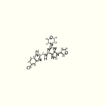 Clc1ccc2[nH]c(CNc3nc(N4CCOCC4)nc4c3ncn4-c3ccoc3)nc2c1